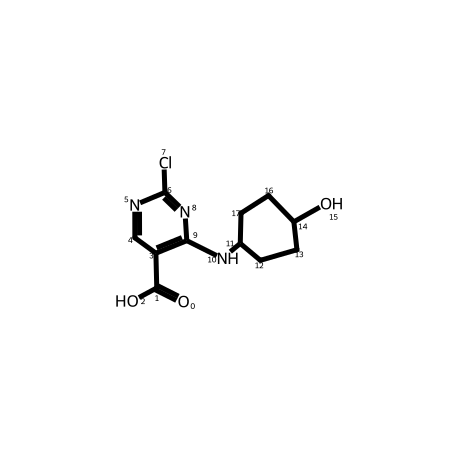 O=C(O)c1cnc(Cl)nc1NC1CCC(O)CC1